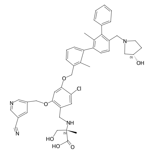 Cc1c(COc2cc(OCc3cncc(C#N)c3)c(CN[C@@](C)(CO)C(=O)O)cc2Cl)cccc1-c1ccc(CN2CC[C@H](O)C2)c(-c2ccccc2)c1C